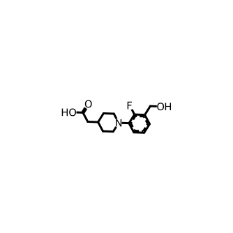 O=C(O)CC1CCN(c2cccc(CO)c2F)CC1